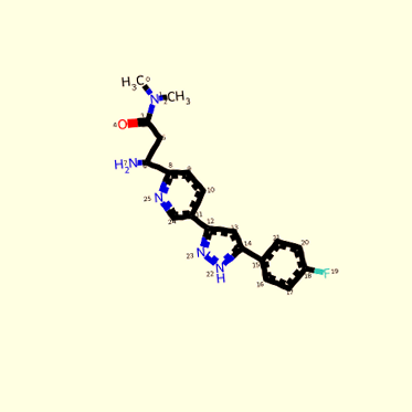 CN(C)C(=O)CC(N)c1ccc(-c2cc(-c3ccc(F)cc3)[nH]n2)cn1